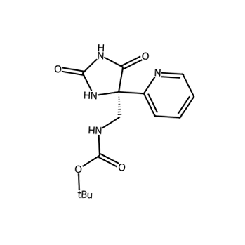 CC(C)(C)OC(=O)NC[C@]1(c2ccccn2)NC(=O)NC1=O